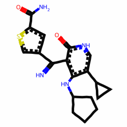 N=C(c1csc(C(N)=O)c1)c1c(NC2CCCC2)c(C2CC2)c[nH]c1=O